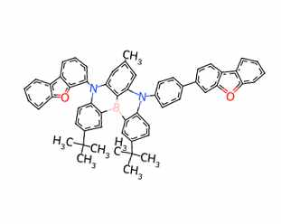 Cc1cc2c3c(c1)N(c1cccc4c1oc1ccccc14)c1ccc(C(C)(C)C)cc1B3c1cc(C(C)(C)C)ccc1N2c1ccc(-c2ccc3c(c2)oc2ccccc23)cc1